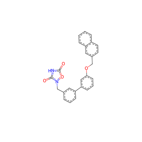 O=c1[nH]c(=O)n(Cc2cccc(-c3cccc(OCc4ccc5ccccc5c4)c3)c2)o1